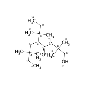 CCC(C)(C)CC(C(=O)NC(C)(C)CO)C(C)(C)CC